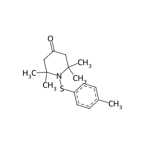 Cc1ccc(SN2C(C)(C)CC(=O)CC2(C)C)cc1